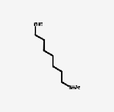 CC(=O)NCCCCCCCC=O